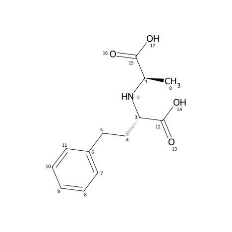 C[C@@H](N[C@@H](CCc1ccccc1)C(=O)O)C(=O)O